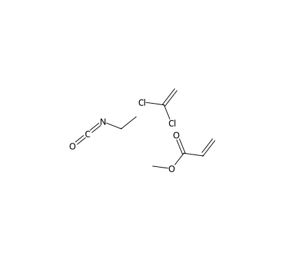 C=C(Cl)Cl.C=CC(=O)OC.CCN=C=O